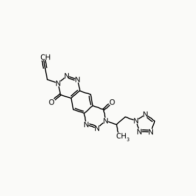 C#CCn1nnc2cc3c(=O)n(C(C)Cn4ncnn4)nnc3cc2c1=O